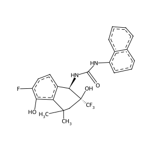 CC1(C)C[C@@](O)(C(F)(F)F)[C@H](NC(=O)Nc2cccc3ccccc23)c2ccc(F)c(O)c21